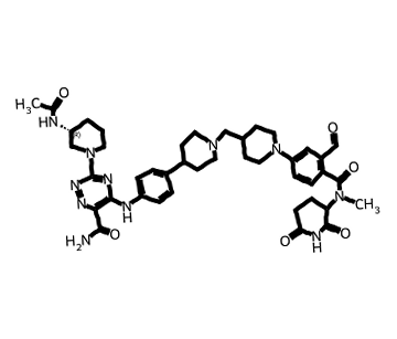 CC(=O)N[C@@H]1CCCN(c2nnc(C(N)=O)c(Nc3ccc(C4CCN(CC5CCN(c6ccc(C(=O)N(C)C7CCC(=O)NC7=O)c(C=O)c6)CC5)CC4)cc3)n2)C1